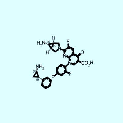 N[C@@H]1C[C@H]1c1ccccc1.N[C@@H]1[C@H]2CN(c3nc4c(cc3F)c(=O)c(C(=O)O)cn4-c3ccc(F)cc3F)C[C@@H]12